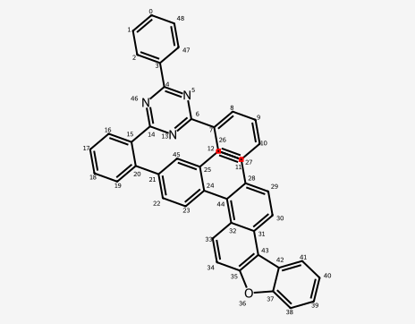 c1ccc(-c2nc(-c3ccccc3)nc(-c3ccccc3-c3ccc4c(ccc5ccc6c(ccc7oc8ccccc8c76)c54)c3)n2)cc1